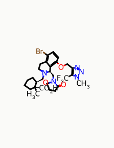 Cn1nnc(COc2ccc(Br)c3c2[C@@H](CN2CCCC2=O)N(C(=O)[C@@H]2CCCC[C@]2(C)C(=O)O)CC3)c1C(F)(F)F